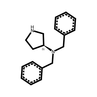 c1ccc(CN(Cc2ccccc2)[C@H]2CCNC2)cc1